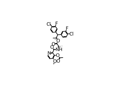 COc1ccnc(C(=O)N[C@@H](C)C(=O)O[C@@H](C)C(c2ccc(Cl)c(F)c2)c2ccc(Cl)c(F)c2)c1OC(C)=O